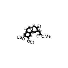 CCOc1cc2c(cc1OCC)C1CC(=CC(=O)OC)C(CC)CN1CC2